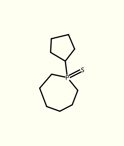 S=P1(C2CCCC2)CCCCCC1